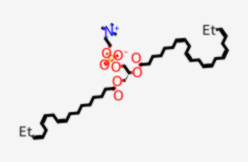 CC/C=C\C/C=C\C/C=C\C/C=C\C/C=C\CCCCCC(=O)O[C@H](COC(=O)CCCCCCC/C=C\C/C=C\C/C=C\CC)COP(=O)([O-])OCC[N+](C)(C)C